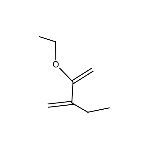 C=C(CC)C(=C)OCC